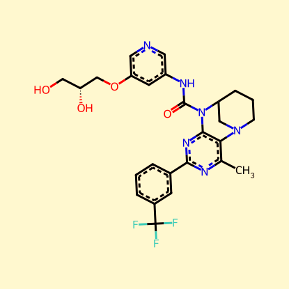 Cc1nc(-c2cccc(C(F)(F)F)c2)nc2c1N1CCCC(C1)N2C(=O)Nc1cncc(OC[C@H](O)CO)c1